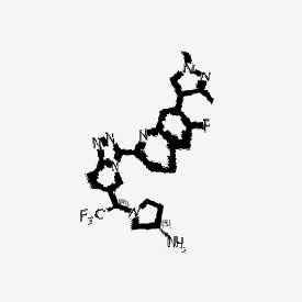 CC1=NN(C)CC1c1cc2nc(-c3nnc4ccc([C@@H](N5CC[C@H](N)C5)C(F)(F)F)cn34)ccc2cc1F